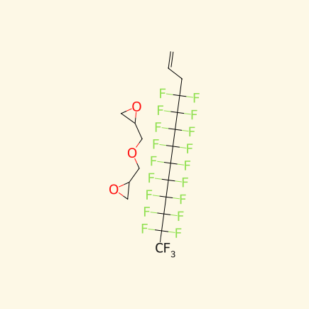 C(OCC1CO1)C1CO1.C=CCC(F)(F)C(F)(F)C(F)(F)C(F)(F)C(F)(F)C(F)(F)C(F)(F)C(F)(F)C(F)(F)C(F)(F)F